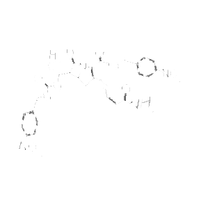 CC(OC(=O)OCc1ccc([N+](=O)[O-])cc1)C1C(=O)N2C(C(=O)OCc3ccc([N+](=O)[O-])cc3)=C(S/C=C\C(N)=O)CC12